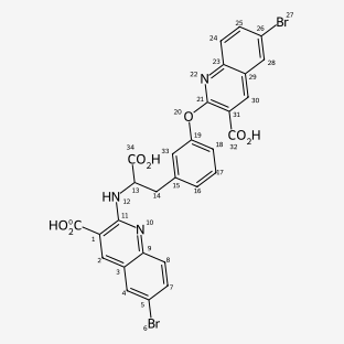 O=C(O)c1cc2cc(Br)ccc2nc1NC(Cc1cccc(Oc2nc3ccc(Br)cc3cc2C(=O)O)c1)C(=O)O